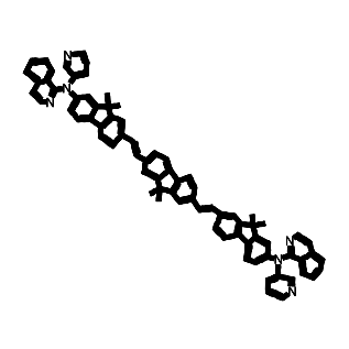 CC1(C)c2cc(/C=C/c3ccc4c(c3)C(C)(C)c3cc(N(c5cccnc5)c5nccc6ccccc56)ccc3-4)ccc2-c2ccc(/C=C/c3ccc4c(c3)C(C)(C)c3cc(N(c5cccnc5)c5nccc6ccccc56)ccc3-4)cc21